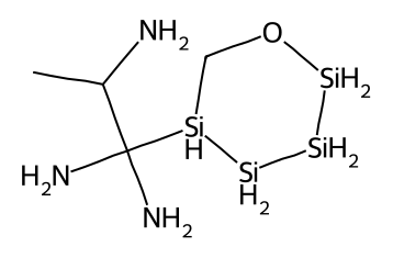 CC(N)C(N)(N)[SiH]1CO[SiH2][SiH2][SiH2]1